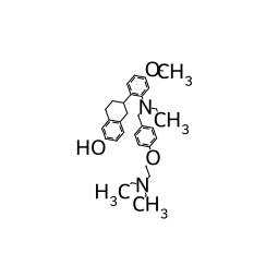 CCN(CC)CCOc1ccc(CN(CC)c2cc(OC)ccc2C2CCc3cc(O)ccc3C2)cc1